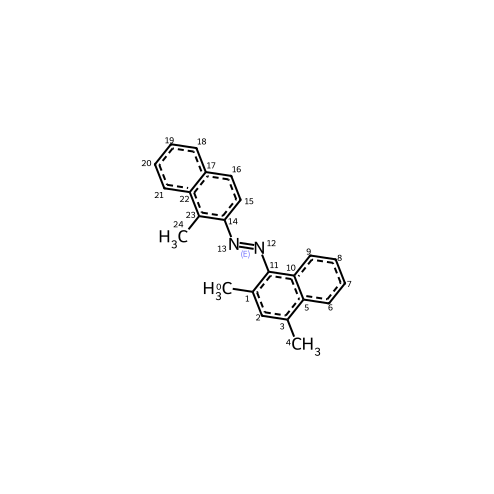 Cc1cc(C)c2ccccc2c1/N=N/c1ccc2ccccc2c1C